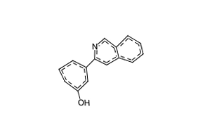 Oc1cccc(-c2cc3ccccc3cn2)c1